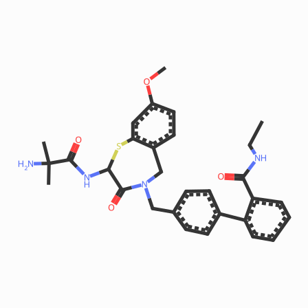 CCNC(=O)c1ccccc1-c1ccc(CN2Cc3ccc(OC)cc3SC(NC(=O)C(C)(C)N)C2=O)cc1